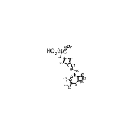 CCCOC(Cc1ccc(OCCN2SC3=C(CC=C3)Cc3ccsc32)cc1)C(=O)O